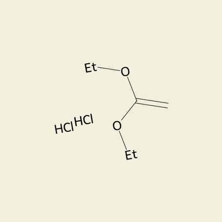 C=C(OCC)OCC.Cl.Cl